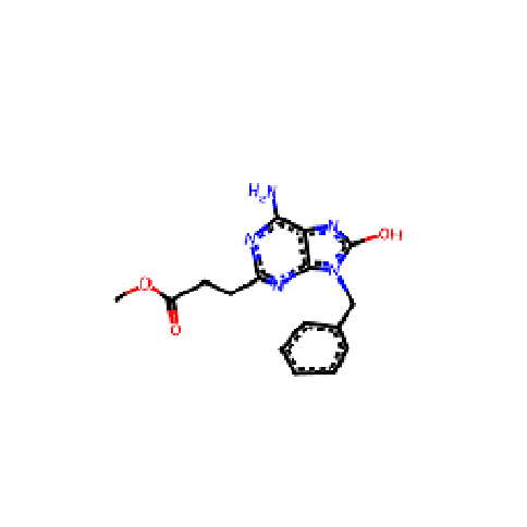 COC(=O)CCc1nc(N)c2nc(O)n(Cc3ccccc3)c2n1